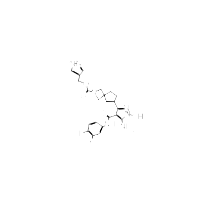 Cn1cc(COC(=O)N2CC3(CCC(c4nn(C)c(N)c4C(=O)Nc4ccc(F)c(Cl)c4)C3)C2)cn1